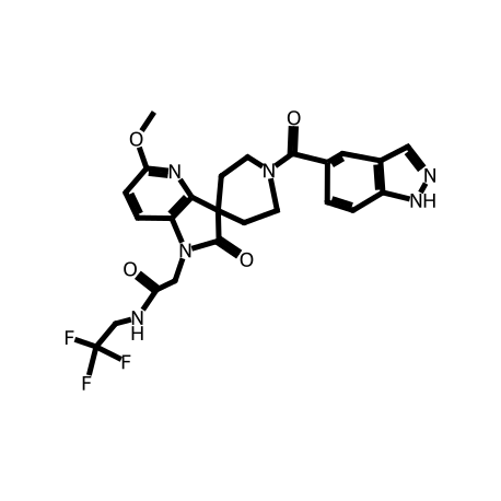 COc1ccc2c(n1)C1(CCN(C(=O)c3ccc4[nH]ncc4c3)CC1)C(=O)N2CC(=O)NCC(F)(F)F